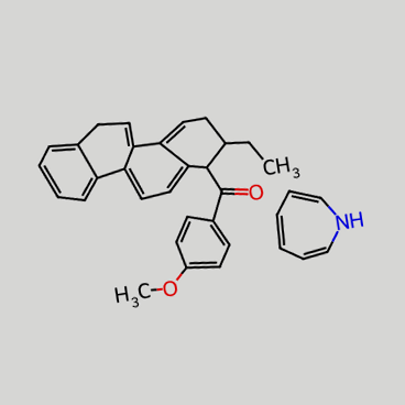 C1=CC=CNC=C1.CCC1CC=c2c(ccc3c2=CCc2ccccc2-3)C1C(=O)c1ccc(OC)cc1